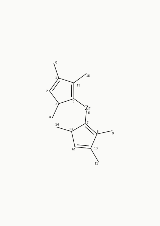 CC1=CC(C)[C]([Zr][C]2=C(C)C(C)=CC2C)=C1C